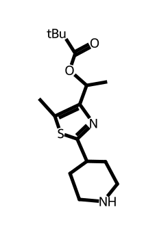 Cc1sc(C2CCNCC2)nc1C(C)OC(=O)C(C)(C)C